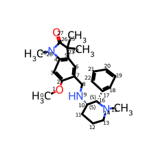 COc1cc2c(cc1CN[C@H]1CCCN(C)[C@H]1c1ccccc1)C(C)(C)C(=O)N2C